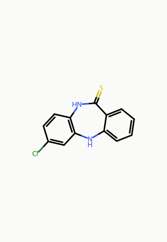 S=C1Nc2ccc(Cl)cc2Nc2ccccc21